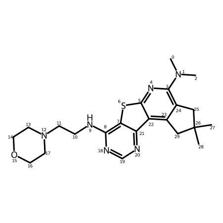 CN(C)c1nc2sc3c(NCCN4CCOCC4)ncnc3c2c2c1CC(C)(C)C2